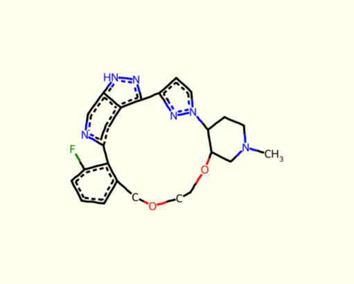 CN1CCC2C(C1)OCCOCc1cccc(F)c1-c1cc3c(n[nH]c3cn1)-c1ccn2n1